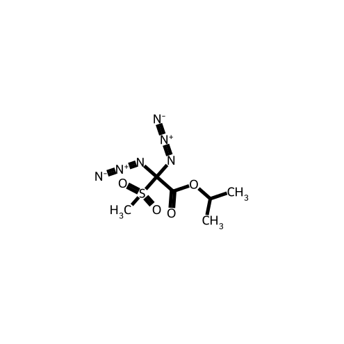 CC(C)OC(=O)C(N=[N+]=[N-])(N=[N+]=[N-])S(C)(=O)=O